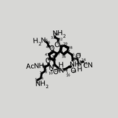 CC(=O)N[C@@H](CCCCN)C(=O)N(C)[C@@H]1C(=O)N[C@@H](C)C(=O)N[C@H](C(=O)NCC#N)Cc2ccc(OCCN)c(c2)-c2cc1ccc2OCCN